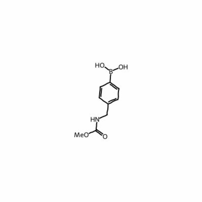 COC(=O)NCc1ccc(B(O)O)cc1